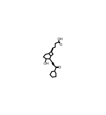 O=C(O)CCC=C1CC2C1CCC(O)C2C#CC(=O)C1CCCCC1